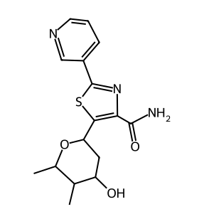 CC1OC(c2sc(-c3cccnc3)nc2C(N)=O)CC(O)C1C